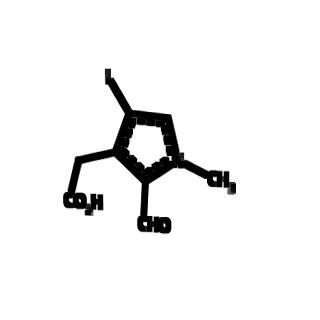 Cn1cc(I)c(CC(=O)O)c1C=O